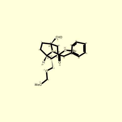 COCOC[C@@H]1[C@@H]2CC[C@](C=O)(CN1Cc1ccccc1)N2C(=O)OC(C)(C)C